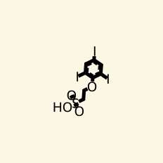 O=S(=O)(O)CCOc1c(I)cc(I)cc1I